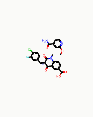 CN1C(=O)/C(=C\c2ccc(Cl)c(F)c2)C(=O)c2cc(C(=O)O)ccc21.COc1cc(C(N)=O)ccn1